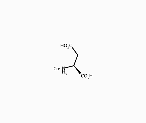 N[C@@H](CC(=O)O)C(=O)O.[Co]